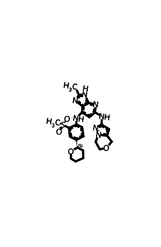 Cc1nc2c(Nc3ccc([C@@H]4CCCCO4)cc3S(C)(=O)=O)cc(Nc3cc4n(n3)CCOC4)nc2[nH]1